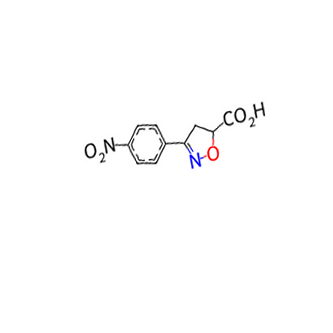 O=C(O)C1CC(c2ccc([N+](=O)[O-])cc2)=NO1